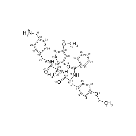 CCOc1ccc(C[C@@H](NC(=O)c2ccccc2)C(=O)N[C@](C)(C(=O)NCc2ccc(CN)cc2)c2ccc(OC)cc2)cc1